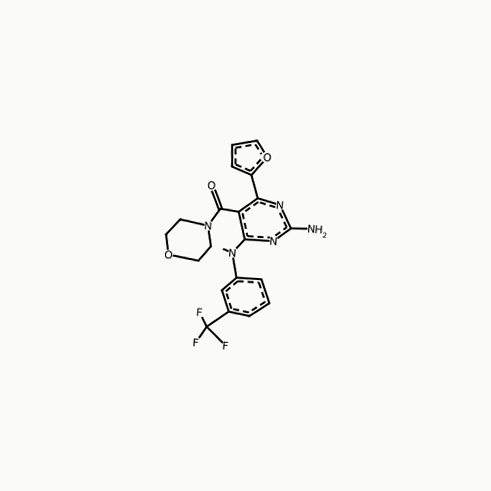 CN(c1cccc(C(F)(F)F)c1)c1nc(N)nc(-c2ccco2)c1C(=O)N1CCOCC1